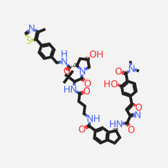 Cc1ncsc1-c1ccc(CNC(=O)[C@@H]2C[C@@H](O)CN2C(=O)C(NC(=O)CCCNC(=O)c2ccc3c(c2)[C@H](NC(=O)c2cc(-c4ccc(C(=O)N(C)C)c(O)c4)on2)CC3)C(C)(C)C)cc1